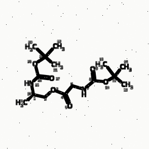 C[C@H](COC(=O)CNC(=O)OC(C)(C)C)NC(=O)OC(C)(C)C